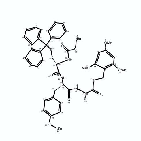 COc1cc(OC)c(CSC(=O)[C@H](C)NC(=O)[C@H](Cc2ccc(OC(C)(C)C)cc2)NC(=O)[C@H](CSC(c2ccccc2)(c2ccccc2)c2ccccc2)NC(=O)OC(C)(C)C)c(OC)c1